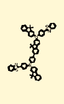 CC1(C)c2ccccc2-c2ccc(N(c3ccc(-c4ccc5c(c4)C(C)(C)c4cc(N(c6ccc(-c7nc8ccccc8s7)cc6)c6ccc7c(c6)C(C)(C)c6ccccc6-7)ccc4-5)cc3)c3ccc(-c4nc5ccccc5s4)cc3)cc21